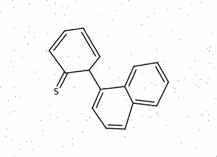 S=C1[C]=CC=CC1c1cccc2ccccc12